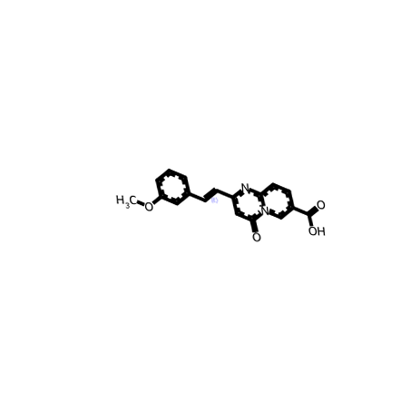 COc1cccc(/C=C/c2cc(=O)n3cc(C(=O)O)ccc3n2)c1